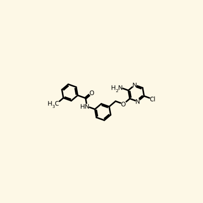 Cc1cccc(C(=O)Nc2cccc(COc3nc(Cl)cnc3N)c2)c1